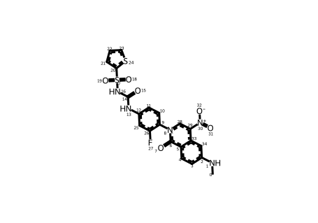 CNc1ccc2c(=O)n(-c3ccc(NC(=O)NS(=O)(=O)c4cccs4)cc3F)cc([N+](=O)[O-])c2c1